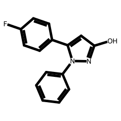 Oc1cc(-c2ccc(F)cc2)n(-c2ccccc2)n1